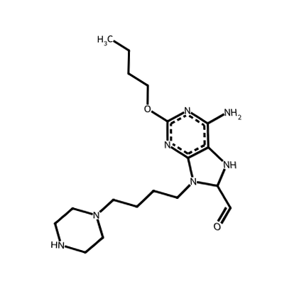 CCCCOc1nc(N)c2c(n1)N(CCCCN1CCNCC1)C(C=O)N2